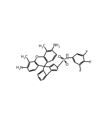 Cc1c(N)ccc2c1Oc1c(ccc(N)c1C)C21c2ccccc2-c2ccc(S(=O)(=O)Nc3cc(F)c(F)c(F)c3)cc21